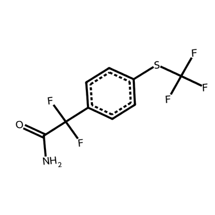 NC(=O)C(F)(F)c1ccc(SC(F)(F)F)cc1